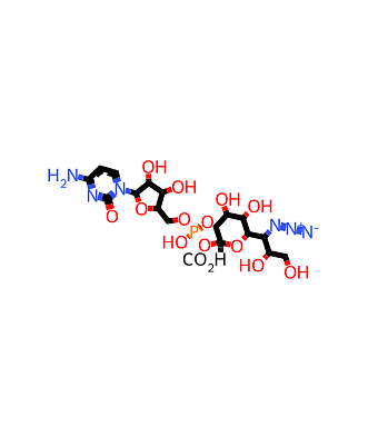 [N-]=[N+]=NC(C(O)CO)C1OC(OP(=O)(O)OCC2OC(n3ccc(N)nc3=O)C(O)C2O)(C(=O)O)CC(O)C1O